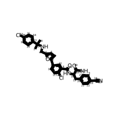 CC(C)(NCc1ccc(-c2ccc(Cl)c(C(=O)NC(Cc3ccc(C#N)cc3)C(N)=O)c2)o1)c1ccc(Cl)cc1